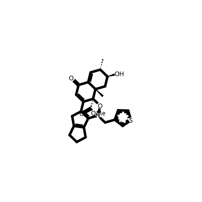 COC(=O)[C@]12ON(Cc3ccsc3)C3=C(CC4=C3CCC4)C1=CC(=O)C1=C[C@H](C)[C@@H](O)C[C@@]12C